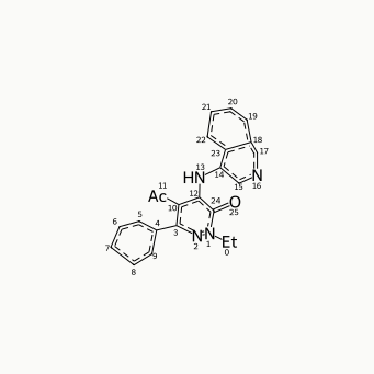 CCn1nc(-c2ccccc2)c(C(C)=O)c(Nc2cncc3ccccc23)c1=O